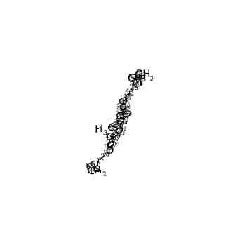 C=C(F)C(=O)OCCCCCCOc1ccc(C(=O)Oc2ccc3c(c2)C(C)c2cc(OC(=O)c4ccc(OCCCCCCOC(=O)C(=C)F)cc4)ccc2-3)cc1